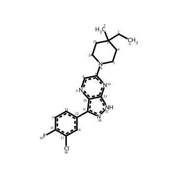 CCC1(C)CCN(c2cnc3c(-c4ccc(F)c(Cl)c4)n[nH]c3n2)CC1